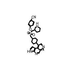 N#Cc1ccc(OC(C2CCCNC2)S(=O)(=O)CC2CCC(c3cnnc4cnc5[nH]ccc5c34)CC2)cc1